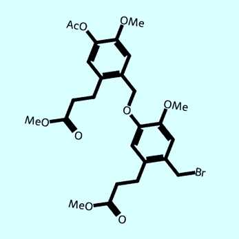 COC(=O)CCc1cc(OCc2cc(OC)c(OC(C)=O)cc2CCC(=O)OC)c(OC)cc1CBr